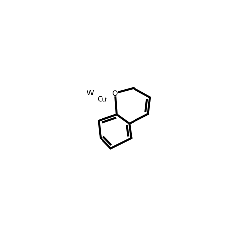 C1=Cc2ccccc2OC1.[Cu].[W]